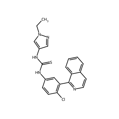 CCn1cc(NC(=S)Nc2ccc(Cl)c(-c3nccc4ccccc34)c2)cn1